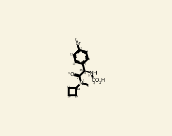 CN(C(=O)[C@H](NC(=O)O)c1ccc(Br)cc1)C1CCC1